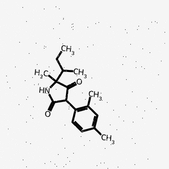 CCC(C)C1(C)NC(=O)C(c2ccc(C)cc2C)C1=O